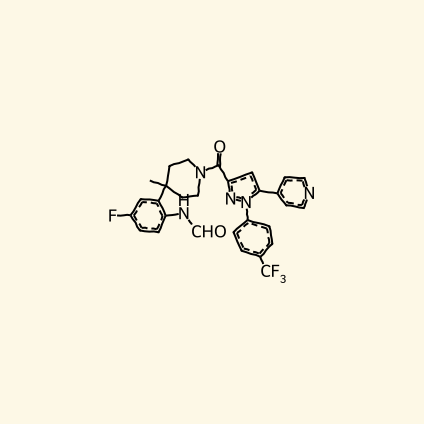 CC1(c2cc(F)ccc2NC=O)CCN(C(=O)c2cc(-c3ccncc3)n(-c3ccc(C(F)(F)F)cc3)n2)CC1